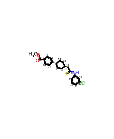 COC(=O)c1ccc([C@H]2CC[C@@H](CC(=S)Nc3cccc(Cl)c3)CC2)cc1